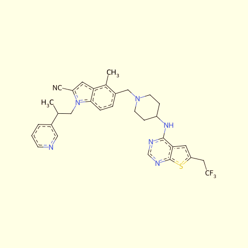 Cc1c(CN2CCC(Nc3ncnc4sc(CC(F)(F)F)cc34)CC2)ccc2c1cc(C#N)n2CC(C)c1cccnc1